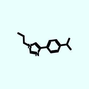 CCCn1cnc(-c2ccc(C(C)C)cc2)c1